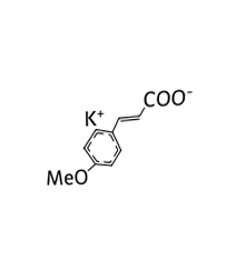 COc1ccc(C=CC(=O)[O-])cc1.[K+]